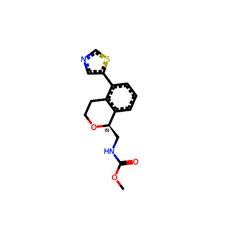 COC(=O)NC[C@H]1OCCc2c(-c3cncs3)cccc21